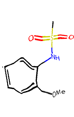 COc1cc[c]cc1NS(C)(=O)=O